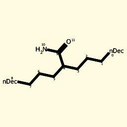 CCCCCCCCCCCCCC(CCCCCCCCCCCCC)C(N)=O